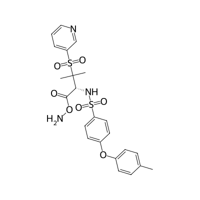 Cc1ccc(Oc2ccc(S(=O)(=O)N[C@H](C(=O)ON)C(C)(C)S(=O)(=O)c3cccnc3)cc2)cc1